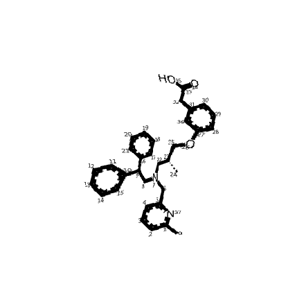 Cc1cccc(CN(CC(c2ccccc2)c2ccccc2)C[C@@H](C)COc2cccc(CC(=O)O)c2)n1